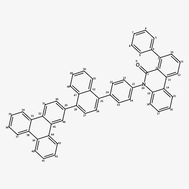 O=c1c2c(-c3ccccc3)cccc2c2ccccc2n1-c1ccc(-c2ccc(-c3ccc4c5ccccc5c5ccccc5c4c3)c3ccccc23)cc1